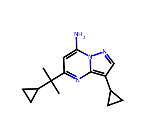 CC(C)(c1cc(N)n2ncc(C3CC3)c2n1)C1CC1